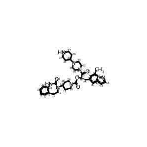 Cc1cc(C[C@@H](OC(=O)N2CCC(N3CCc4ccccc4NC3=O)CC2)C(=O)N2CCN(C3CCNCC3)CC2)cc2ccnn12